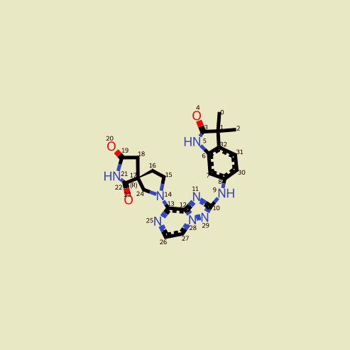 CC1(C)C(=O)Nc2cc(Nc3nc4c(N5CC[C@@]6(CC(=O)NC6=O)C5)nccn4n3)ccc21